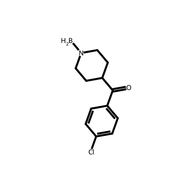 BN1CCC(C(=O)c2ccc(Cl)cc2)CC1